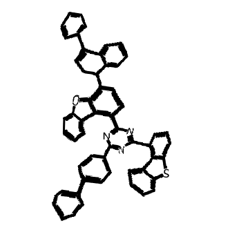 C1=C(c2ccccc2)c2ccccc2C(c2ccc(-c3nc(-c4ccc(-c5ccccc5)cc4)nc(-c4cccc5sc6ccccc6c45)n3)c3c2oc2ccccc23)C1